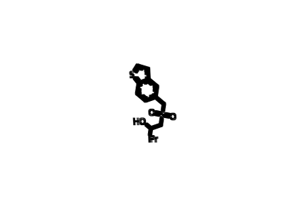 CC(C)C(O)CS(=O)(=O)Cc1ccc2sccc2c1